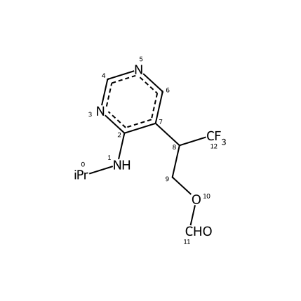 CC(C)Nc1ncncc1C(COC=O)C(F)(F)F